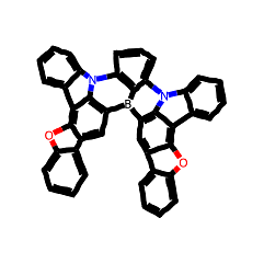 c1cc2c3c(c1)-n1c4ccccc4c4c5oc6ccccc6c5cc(c41)B3c1cc3c4ccccc4oc3c3c4ccccc4n-2c13